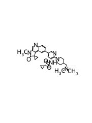 CN(C)CC1CCN(c2ncc(-c3ccc4ncc5c(c4c3)C3(CC3)C(=O)N5C)cc2NS(=O)(=O)C2CC2)CC1